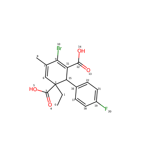 CCC1(C(=O)O)C=C(C)C(Br)=C(C(=O)O)C1c1ccc(F)cc1